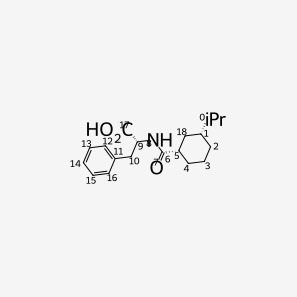 CC(C)[C@@H]1CCC[C@H](C(=O)N[C@H](Cc2ccccc2)C(=O)O)C1